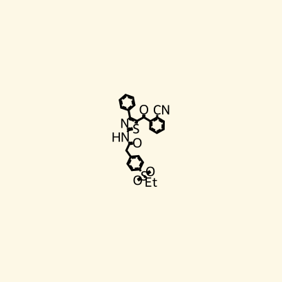 CCS(=O)(=O)c1ccc(CC(=O)Nc2nc(-c3ccccc3)c(C(=O)c3ccccc3C#N)s2)cc1